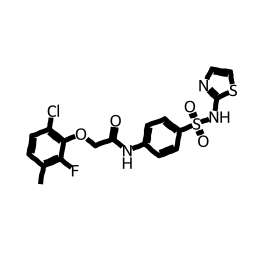 Cc1ccc(Cl)c(OCC(=O)Nc2ccc(S(=O)(=O)Nc3nccs3)cc2)c1F